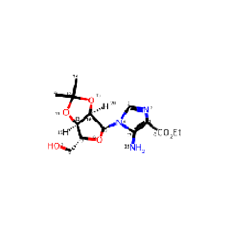 CCOC(=O)c1ncn([C@H]2O[C@H](CO)[C@H]3OC(C)(C)O[C@H]32)c1N